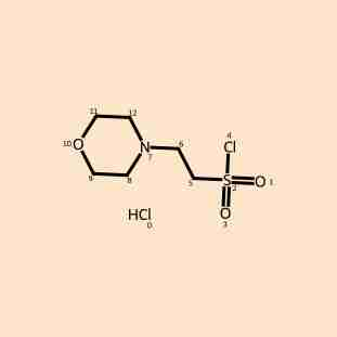 Cl.O=S(=O)(Cl)CCN1CCOCC1